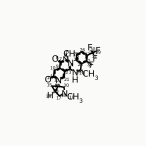 C[C@@H](Nc1nn(C)c(=O)c2cc(=O)n([C@@]34C[C@@H]3CN(C)C4)cc12)c1cccc(C(F)(F)F)c1F